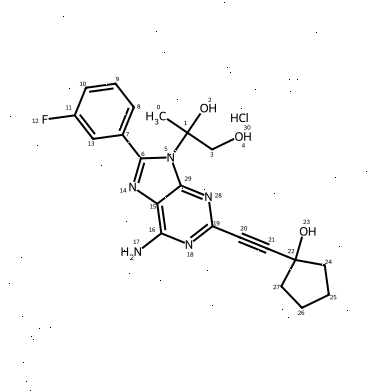 CC(O)(CO)n1c(-c2cccc(F)c2)nc2c(N)nc(C#CC3(O)CCCC3)nc21.Cl